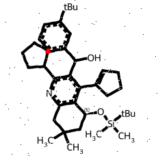 CC1(C)Cc2nc(C3CCCC3)c(C(O)c3cccc(C(C)(C)C)c3)c(C3=CCCC3)c2[C@@H](O[Si](C)(C)C(C)(C)C)C1